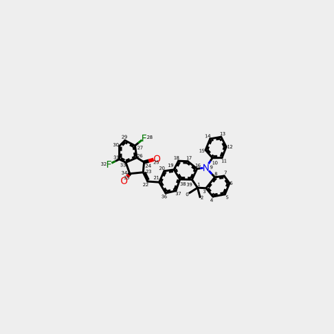 CC1(C)c2ccccc2N(c2ccccc2)c2ccc3cc(C=C4C(=O)c5c(F)ccc(F)c5C4=O)ccc3c21